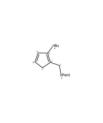 CCCCCCC1=C(CCCC)C=CC1